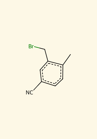 Cc1ccc(C#N)cc1CBr